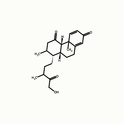 CC(CC[C@@H]1C(C)CC(=O)[C@H]2[C@@H]1CCC1=CC(=O)C=CC12C)C(=O)CO